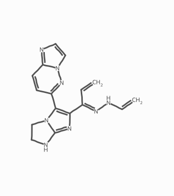 C=CN/N=C(\C=C)c1nc2n(c1-c1ccc3nccn3n1)CCN2